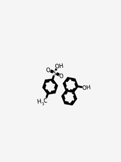 Cc1ccc(S(=O)(=O)O)cc1.Oc1cccc2ccccc12